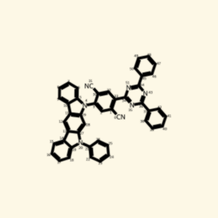 N#Cc1cc(-n2c3ccccc3c3cc4c5ccccc5n(-c5ccccc5)c4cc32)c(C#N)cc1-c1nc(-c2ccccc2)nc(-c2ccccc2)n1